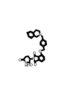 O=C1CCC(N2C(=O)c3cccc(OCc4ccc(CN5CCc6ccccc6C5)cc4)c3C2=O)C(O)N1